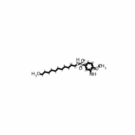 CCCCCCCCCCCCNS(=O)(=O)c1ccc(OC)c([NH])c1